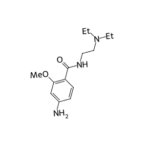 CCN(CC)CCNC(=O)c1ccc(N)cc1OC